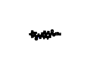 CC(C)(C)OC(=O)N1CCc2cc(/C=C/C(=O)N3CCCC3)ccc2C1